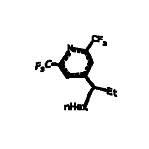 CCCCCCC(CC)c1cc(C(F)(F)F)nc(C(F)(F)F)c1